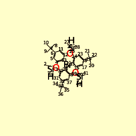 C[SiH](C)Oc1cc(C(C)(C)C)cc[c]1[Bi]([c]1ccc(C(C)(C)C)cc1O[SiH](C)C)[c]1ccc(C(C)(C)C)cc1O[SiH](C)C